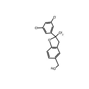 OCc1ccc2c(c1)CC(c1cc(Cl)cc(Cl)c1)(C(F)(F)F)O2